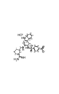 Cl.N=C(N)N1CCCC(CNC(=O)C(Cc2c[nH]c3ccccc23)NS(=O)(=O)c2ccc([N+](=O)[O-])cc2)C1